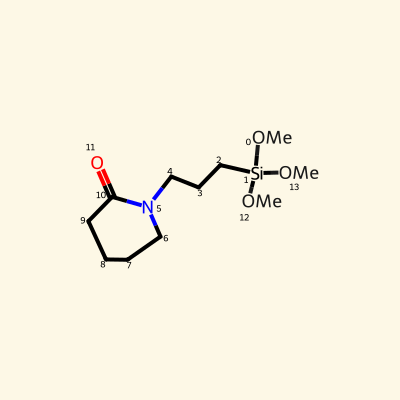 CO[Si](CCCN1CCCCC1=O)(OC)OC